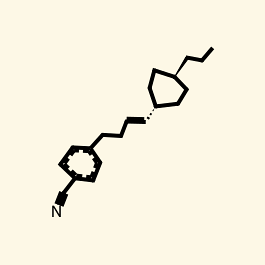 CCC[C@H]1CC[C@H](C=CCCc2ccc(C#N)cc2)CC1